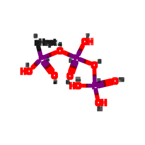 CCCCCCCP(=O)(O)OP(=O)(O)OP(=O)(O)O